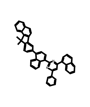 CC1(C)c2ccc(-c3ccc(-c4nc(-c5ccccc5)cc(-c5cccc6ccccc56)n4)c4ccccc34)cc2-c2ccc3ccccc3c21